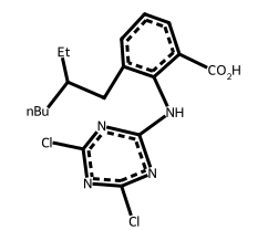 CCCCC(CC)Cc1cccc(C(=O)O)c1Nc1nc(Cl)nc(Cl)n1